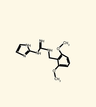 COc1cccc(OC)c1CNC(=N)Nc1ncc[nH]1